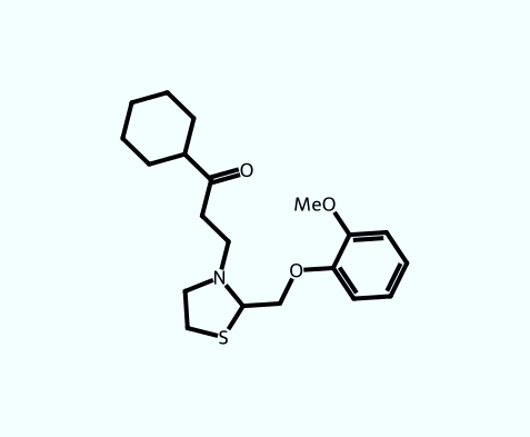 COc1ccccc1OCC1SCCN1CCC(=O)C1CCCCC1